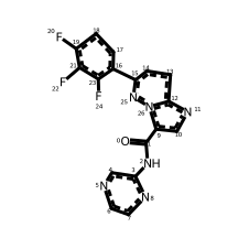 O=C(Nc1cnccn1)c1cnc2ccc(-c3ccc(F)c(F)c3F)nn12